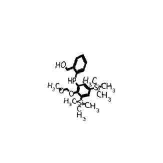 COCOc1c(Pc2ccccc2CO)cc([Si](C)(C)C)cc1[Si](C)(C)C